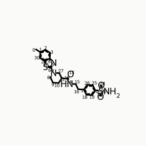 Cc1ccc2nc(N3CCCC(C(=O)NCCc4ccc(S(N)(=O)=O)cc4)C3)sc2c1